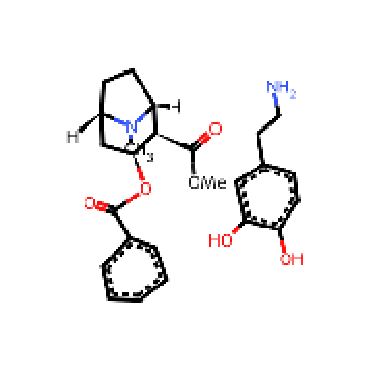 COC(=O)[C@H]1[C@@H](OC(=O)c2ccccc2)C[C@@H]2CC[C@H]1N2C.NCCc1ccc(O)c(O)c1